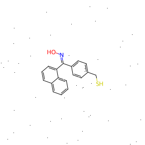 O/N=C(/c1ccc(CS)cc1)c1cccc2ccccc12